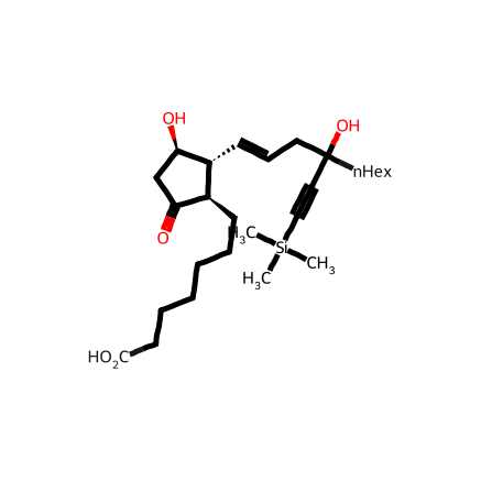 CCCCCCC(O)(C#C[Si](C)(C)C)CC=C[C@H]1[C@H](O)CC(=O)[C@@H]1CCCCCCC(=O)O